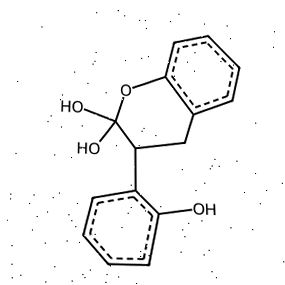 Oc1ccccc1C1Cc2ccccc2OC1(O)O